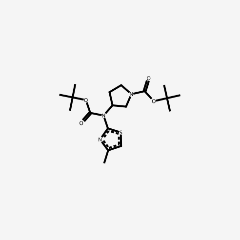 Cc1csc(N(C(=O)OC(C)(C)C)C2CCN(C(=O)OC(C)(C)C)C2)n1